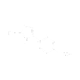 CCc1nc(-c2ccc(OC)cc2)cs1